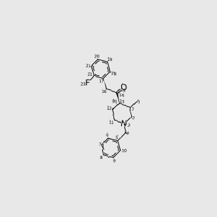 CC1CN(Cc2ccccc2)CC[C@H]1C(=O)Cc1ccccc1F